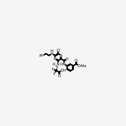 COC(=O)c1cccc(NC(=O)c2nc(Cl)c(NCCC(C)C)nc2N)c1.O=C(O)C(F)(F)F